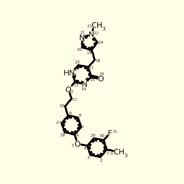 Cc1ccc(Oc2ccc(CCOc3nc(=O)c(Cc4cnn(C)c4)c[nH]3)cc2)cc1F